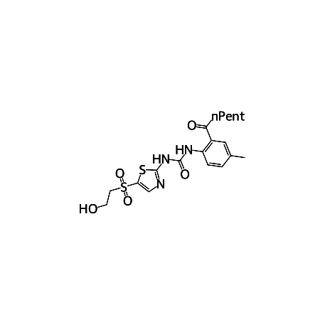 CCCCCC(=O)c1cc(C)ccc1NC(=O)Nc1ncc(S(=O)(=O)CCO)s1